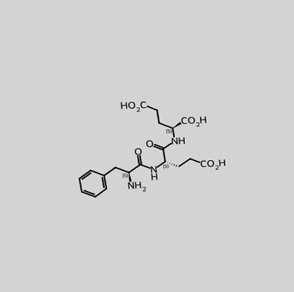 N[C@@H](Cc1ccccc1)C(=O)N[C@@H](CCC(=O)O)C(=O)N[C@@H](CCC(=O)O)C(=O)O